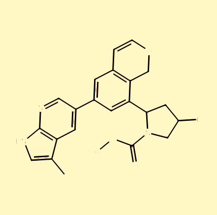 Cc1c[nH]c2ncc(-c3cc4c(c(C5CC(F)CN5C(=O)OC(C)(C)C)c3)COC=C4)cc12